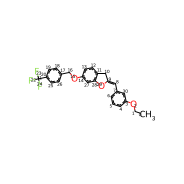 CCOc1cccc(C=C2Cc3ccc(OCc4ccc(C(F)(F)F)cc4)cc3O2)c1